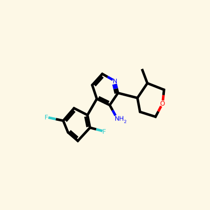 CC1COCCC1c1nccc(-c2cc(F)ccc2F)c1N